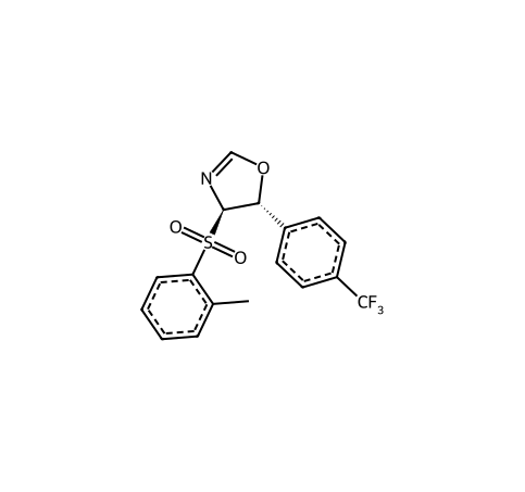 Cc1ccccc1S(=O)(=O)[C@H]1N=CO[C@@H]1c1ccc(C(F)(F)F)cc1